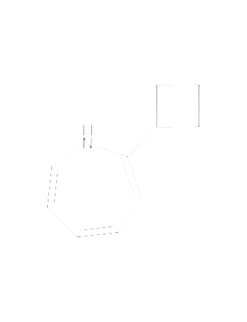 C1=CC=C([C]2CCC2)NC=C1